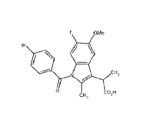 COc1cc2c(C(C)C(=O)O)c(C)n(C(=O)c3ccc(Br)cc3)c2cc1F